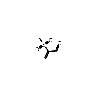 C=C([C]=O)S(C)(=O)=O